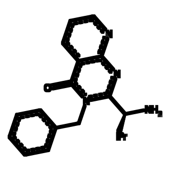 CC(C)[C@H](N)c1nc2ncccc2c(=O)n1Cc1ccccc1